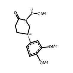 COBN1C[C@H](c2ccc(OC)c(OC)c2)CCC1=O